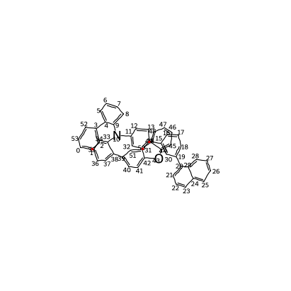 c1ccc(-c2ccccc2N(c2ccc(-c3cccc(-c4cccc5ccccc45)c3)cc2)c2ccccc2-c2ccc3oc4ccccc4c3c2)cc1